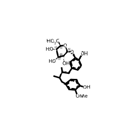 COc1cc(CC(C)C(C)Cc2ccc(O)c(O[C@@H]3O[C@H](C(=O)O)[C@@H](O)[C@H](O)[C@H]3O)c2)ccc1O